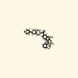 Cc1cccc(Cl)c1S(=O)(=O)N(C)Cc1nc2ccc(C(=O)N3CCC4(CC3)CCN(c3ccncc3)CC4)cc2[nH]1